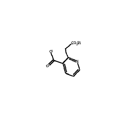 CCOC(=O)Cc1ncccc1C(=O)Cl